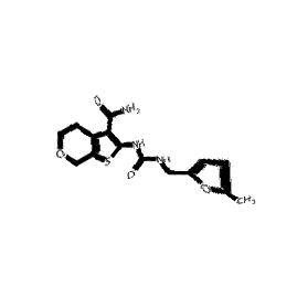 Cc1ccc(CNC(=O)Nc2sc3c(c2C(N)=O)CCOC3)o1